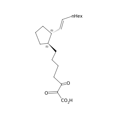 CCCCCCC=C[C@H]1CCC[C@@H]1CCCCC(=O)C(=O)C(=O)O